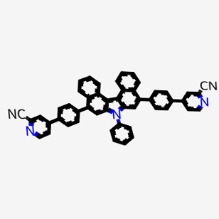 N#Cc1cc(-c2ccc(-c3cc4c(c5ccccc35)c3c5ccccc5c(-c5ccc(-c6ccnc(C#N)c6)cc5)cc3n4-c3ccccc3)cc2)ccn1